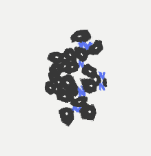 c1ccc(-n2c3ccccc3c3cc(N(c4ccc(-c5nccnc5-c5ccc(N(c6ccc7c(c6)C6(c8ccccc8-c8ccccc86)c6ccccc6-7)c6ccc7c(c6)c6ccccc6n7-c6ccccc6)cc5)cc4)c4ccc5c(c4)C4(c6ccccc6-c6ccccc64)c4ccccc4-5)ccc32)cc1